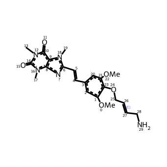 COc1cc(C=Cc2nc3c(c(=O)n(C)c(=O)n3C)n2C)cc(OC)c1OC/C=C/CN